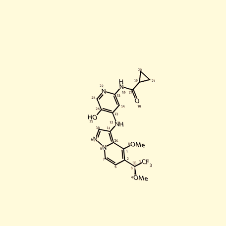 COc1c([C@H](OC)C(F)(F)F)ccn2ncc(Nc3cc(NC(=O)C4CC4)ncc3O)c12